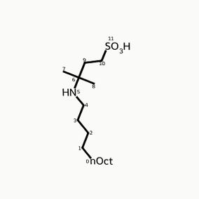 CCCCCCCCCCCCNC(C)(C)CCS(=O)(=O)O